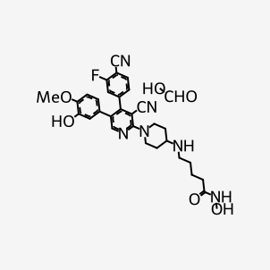 COc1ccc(-c2cnc(N3CCC(NCCCCC(=O)NO)CC3)c(C#N)c2-c2ccc(C#N)c(F)c2)cc1O.O=CO